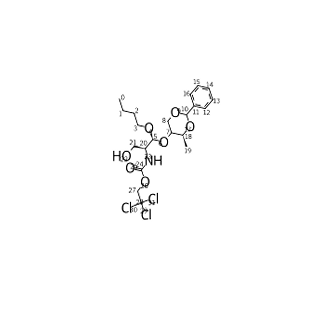 CCCCO[C@@H](OC1COC(c2ccccc2)O[C@H]1C)[C@H](CO)NC(=O)OCC(Cl)(Cl)Cl